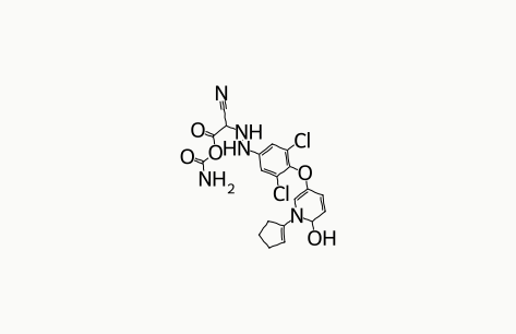 N#CC(NNc1cc(Cl)c(OC2=CN(C3=CCCC3)C(O)C=C2)c(Cl)c1)C(=O)OC(N)=O